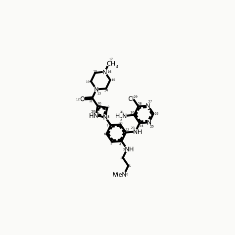 CNCCNc1ccc(-n2cc(C(=O)N3CCN(C)CC3)[nH]2)cc1Nc1ncnc(Cl)c1N